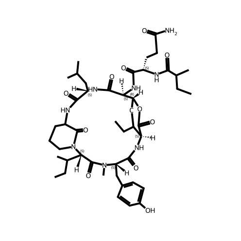 CCC(C)C(=O)N[C@@H](CCC(N)=O)C(=O)N[C@@H]1C(=O)N[C@@H](CC(C)C)C(=O)NC2CCCN(C2=O)[C@@H](C(C)CC)C(=O)N(C)[C@@H](Cc2ccc(O)cc2)C(=O)N[C@@H]2C(=O)O[C@@H]1CC2CC